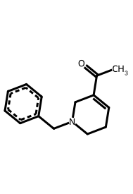 CC(=O)C1=CCCN(Cc2ccccc2)C1